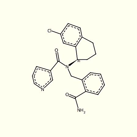 NC(=O)c1ccccc1CN(C(=O)c1cccnc1)[C@@H]1CCCc2ccc(Cl)cc21